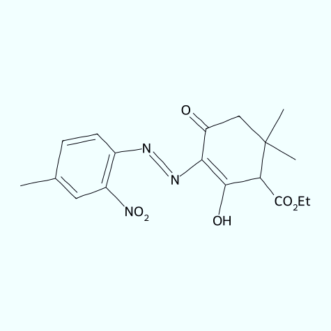 CCOC(=O)C1C(O)=C(/N=N/c2ccc(C)cc2[N+](=O)[O-])C(=O)CC1(C)C